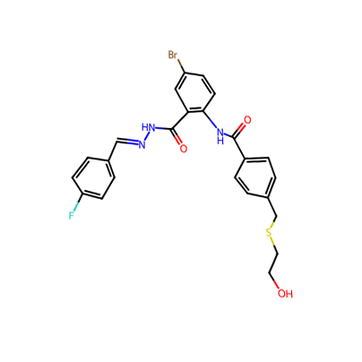 O=C(Nc1ccc(Br)cc1C(=O)NN=Cc1ccc(F)cc1)c1ccc(CSCCO)cc1